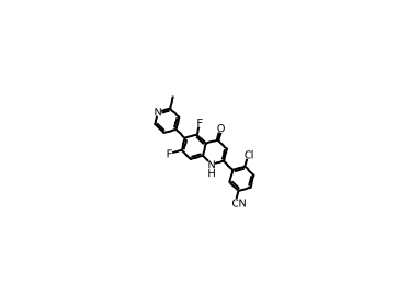 Cc1cc(-c2c(F)cc3[nH]c(-c4cc(C#N)ccc4Cl)cc(=O)c3c2F)ccn1